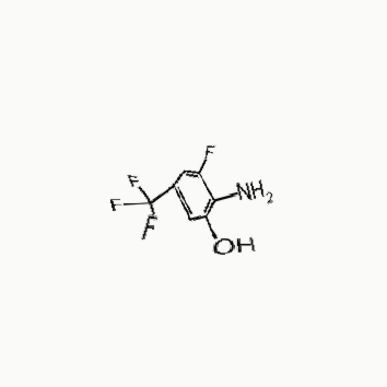 Nc1c(O)cc(C(F)(F)F)cc1F